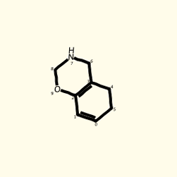 C1=CC2=C(CC1)CNCO2